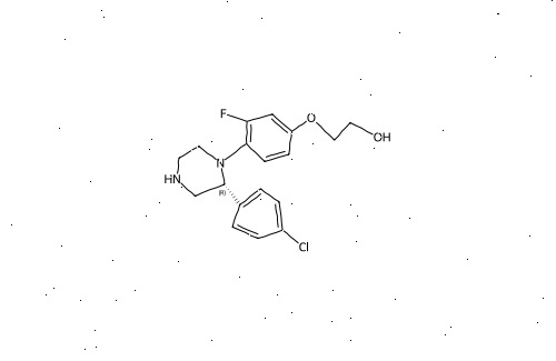 OCCOc1ccc(N2CCNC[C@H]2c2ccc(Cl)cc2)c(F)c1